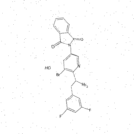 Cl.NC(Cc1cc(F)cc(F)c1)c1ncc(N2C(=O)c3ccccc3C2=O)cc1Br